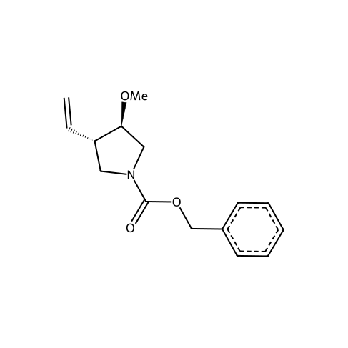 C=C[C@H]1CN(C(=O)OCc2ccccc2)C[C@@H]1OC